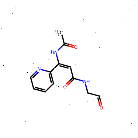 CC(=O)NC(=CC(=O)NC[C]=O)c1ccccn1